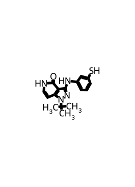 CC(C)(C)n1nc(Nc2cccc(S)c2)c2c(=O)[nH]ccc21